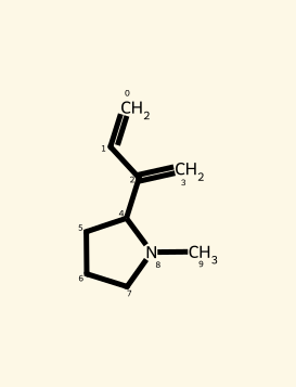 C=CC(=C)C1CCCN1C